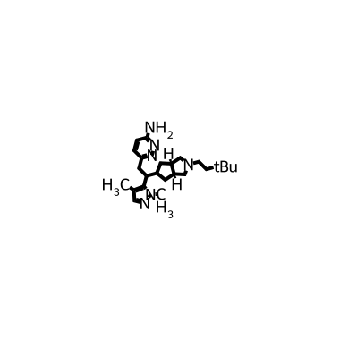 Cc1cnn(C)c1C(Cc1ccc(N)nn1)C1C[C@@H]2CN(CCC(C)(C)C)C[C@@H]2C1